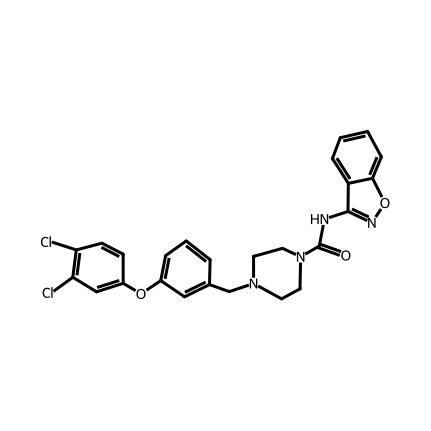 O=C(Nc1noc2ccccc12)N1CCN(Cc2cccc(Oc3ccc(Cl)c(Cl)c3)c2)CC1